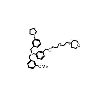 COc1cccc(CN(Cc2cccc(N3CCCC3)c2)c2cccc(COCCOCCN3CCOCC3)c2)c1